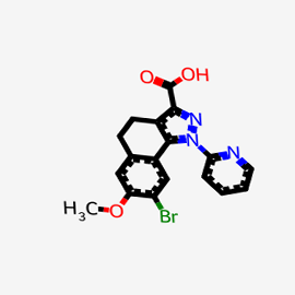 COc1cc2c(cc1Br)-c1c(c(C(=O)O)nn1-c1ccccn1)CC2